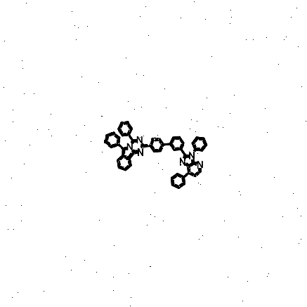 c1ccc(-c2ccnc3c2nc(-c2cccc(-c4ccc(-c5nc(-c6ccccc6)n6c(-c7ccccc7)c7ccccc7c6n5)cc4)c2)n3-c2ccccc2)cc1